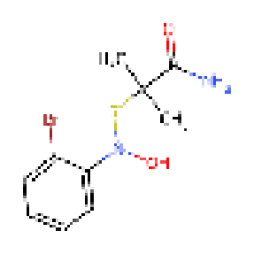 CC(C)(SN(O)c1ccccc1Br)C(N)=O